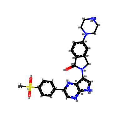 CC(C)S(=O)(=O)c1ccc(-c2cnc3[nH]cc(N4Cc5cc(N6CCNCC6)ccc5C4=O)c3n2)cc1